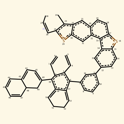 C=Cc1c(C=C)c(-c2cccc(-c3ccc4sc5ccc6cc7c(C)c(/C=C\C)sc7cc6c5c4c3)c2)c2c(c1C1=CC=C3C=CC=CC3C1)=CCCC=2